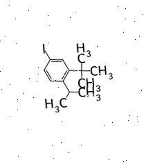 CC(C)c1ccc(I)cc1C(C)(C)C